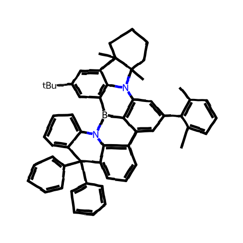 Cc1cccc(C)c1-c1cc2c3c(c1)N1c4c(cc(C(C)(C)C)cc4C4(C)CCCCC14C)B3N1c3ccccc3C(c3ccccc3)(c3ccccc3)c3cccc-2c31